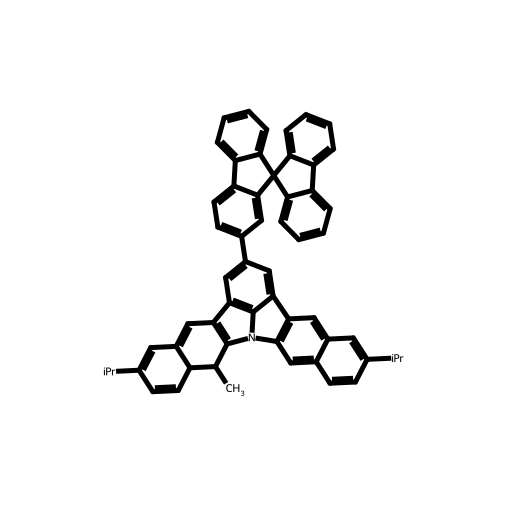 CC(C)C1=CC2=Cc3c(n4c5cc6ccc(C(C)C)cc6cc5c5cc(-c6ccc7c(c6)C6(c8ccccc8-c8ccccc86)c6ccccc6-7)cc3c54)C(C)C2C=C1